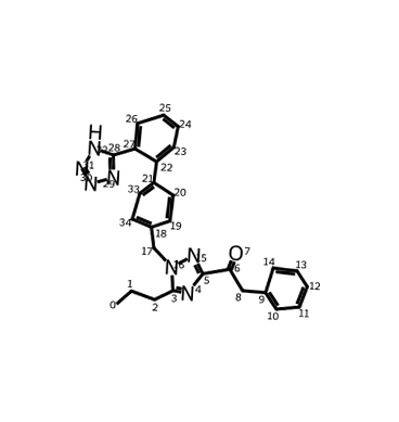 CCCc1nc(C(=O)Cc2ccccc2)nn1Cc1ccc(-c2ccccc2-c2nnn[nH]2)cc1